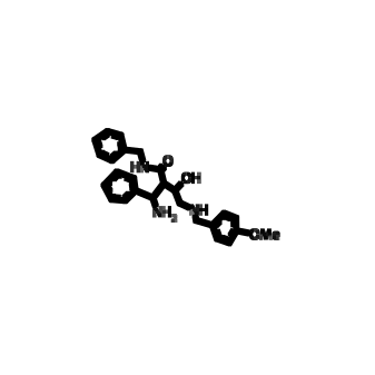 COc1ccc(CNCC(O)C(C(=O)NCc2ccccc2)C(N)c2ccccc2)cc1